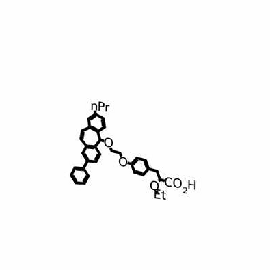 CCCc1ccc2c(c1)C=Cc1cc(-c3ccccc3)ccc1C2OCCOc1ccc(CC(OCC)C(=O)O)cc1